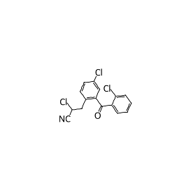 N#CC(Cl)Cc1ccc(Cl)cc1C(=O)c1ccccc1Cl